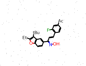 CCc1oc2ccc(C(/C=C/c3ccc(C(C)=O)cc3F)=N/O)cc2c1C(C)(C)C